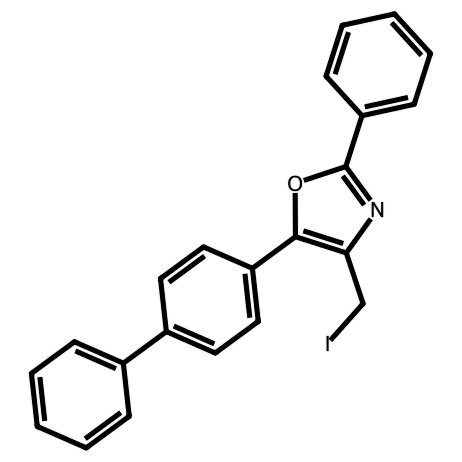 ICc1nc(-c2ccccc2)oc1-c1ccc(-c2ccccc2)cc1